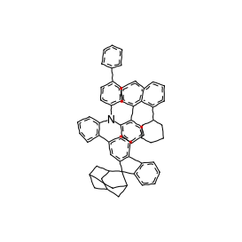 c1ccc(-c2ccc(N(c3ccccc3-c3ccc4c(c3)C3(c5ccccc5-4)C4CC5CC(C4)CC3C5)c3ccccc3-c3cccc4cccc(C5CCCCC5)c34)cc2)cc1